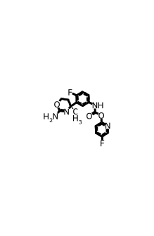 C[C@@]1(c2cc(NC(=O)Oc3ccc(F)cn3)ccc2F)CCOC(N)=N1